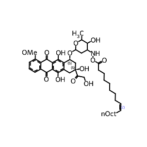 CCCCCCCC/C=C\CCCCCCCC(=O)ONC1CC(O[C@H]2C[C@](O)(C(=O)CO)Cc3c(O)c4c(c(O)c32)C(=O)c2c(OC)cccc2C4=O)OC(C)C1O